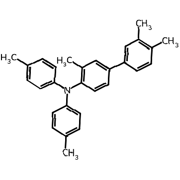 Cc1ccc(N(c2ccc(C)cc2)c2ccc(-c3ccc(C)c(C)c3)cc2C)cc1